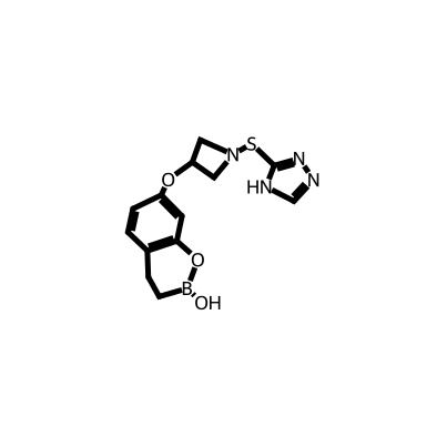 OB1CCc2ccc(OC3CN(Sc4nnc[nH]4)C3)cc2O1